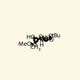 COC[C@H](C)Oc1cc(O)cc(C(=O)NC(=N)/C=C\NC(=O)OC(C)(C)C)c1